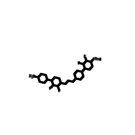 CCCCCC1CCC(C2CCC(CCCC3CCC(C4CCC(C)CC4)C(F)C3F)CC2)C(F)C1F